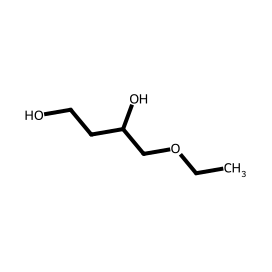 CCOCC(O)CCO